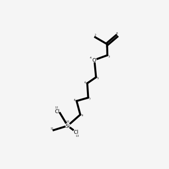 C=C(C)COCCCCC[Si](C)(Cl)Cl